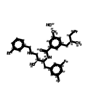 CCc1cccc(CNC[C@@H](O)[C@H](Cc2cc(F)cc(F)c2)NC(=O)c2cc(C)cc(CN(C)CC(C)C)c2)c1.Cl